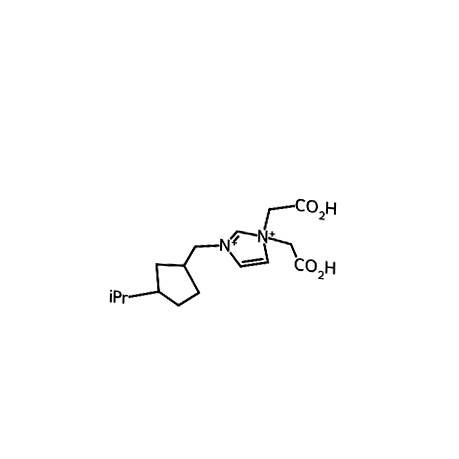 CC(C)C1CCC(C[N+]2=C[N+](CC(=O)O)(CC(=O)O)C=C2)C1